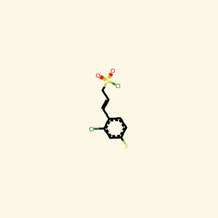 O=S(=O)(Cl)CC=Cc1ccc(F)cc1Cl